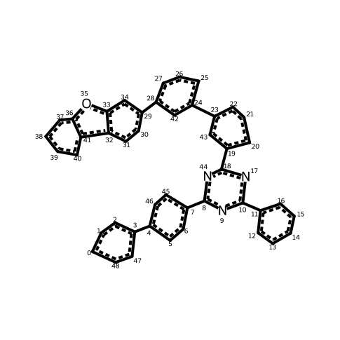 c1ccc(-c2ccc(-c3nc(-c4ccccc4)nc(-c4cccc(-c5cccc(-c6ccc7c(c6)oc6ccccc67)c5)c4)n3)cc2)cc1